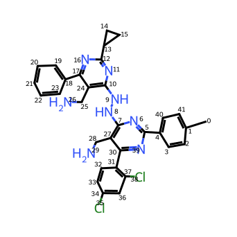 Cc1ccc(-c2nc(NNc3nc(C4CC4)nc(-c4ccccc4)c3CN)c(CN)c(-c3ccc(Cl)cc3Cl)n2)cc1